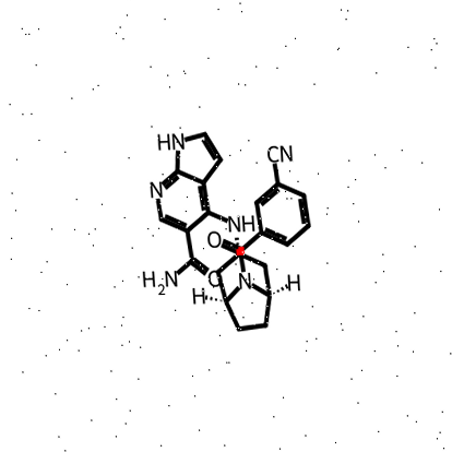 N#Cc1cccc(C(=O)N2[C@@H]3CC[C@H]2C[C@H](Nc2c(C(N)=O)cnc4[nH]ccc24)C3)c1